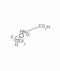 O=C(O)CCCCCCC(=O)Nc1ccc(C(O)(C(F)(F)F)C(F)(F)F)cc1